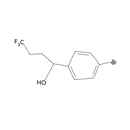 OC(CCC(F)(F)F)c1ccc(Br)cc1